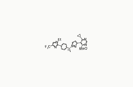 CCn1cc(C(F)(F)F)nc1-c1ccc([C@H](C)n2ccc(-c3c(OC)ncnc3C3CC3)n2)cc1